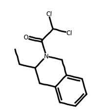 CCC1Cc2ccccc2CN1C(=O)C(Cl)Cl